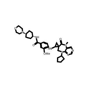 COc1cc(C(=O)N[C@H]2CC[C@H](N3CCOCC3)CC2)ccc1NC1CC12CN(C1CCCC1)c1ncncc1N(C)C2=O